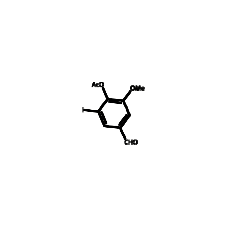 COc1cc(C=O)cc(I)c1OC(C)=O